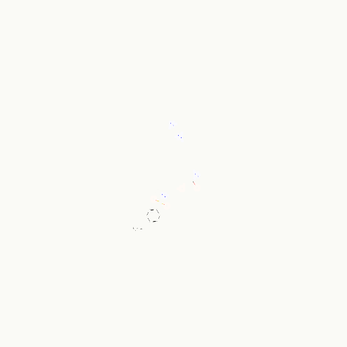 COc1cc(C)c(S(=O)(=O)N(C)CCOCC(=O)N(C)C2CCC(CCN3CCN(C)CC3)CC2)c(C)c1